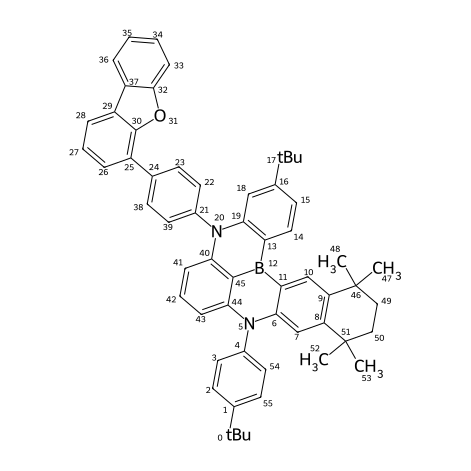 CC(C)(C)c1ccc(N2c3cc4c(cc3B3c5ccc(C(C)(C)C)cc5N(c5ccc(-c6cccc7c6oc6ccccc67)cc5)c5cccc2c53)C(C)(C)CCC4(C)C)cc1